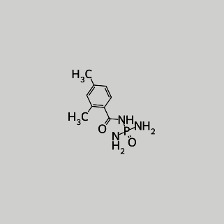 Cc1ccc(C(=O)NP(N)(N)=O)c(C)c1